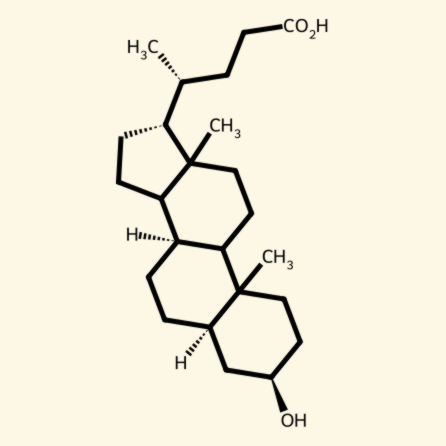 C[C@H](CCC(=O)O)[C@H]1CCC2[C@@H]3CC[C@@H]4C[C@H](O)CCC4(C)C3CCC21C